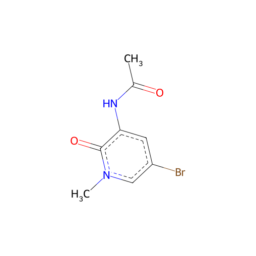 CC(=O)Nc1cc(Br)cn(C)c1=O